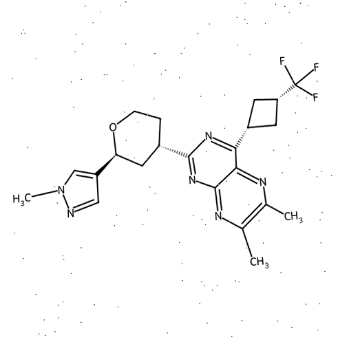 Cc1nc2nc([C@H]3CCO[C@H](c4cnn(C)c4)C3)nc([C@H]3C[C@@H](C(F)(F)F)C3)c2nc1C